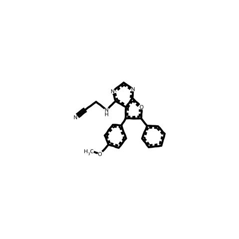 COc1ccc(-c2c(-c3ccccc3)oc3ncnc(NCC#N)c23)cc1